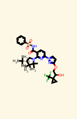 BC(B)(B)[C@@H]1CN(c2nc(-n3ccc(OCC(O)C4(C(F)(F)F)CC4)n3)ccc2C(=O)NS(=O)(=O)c2ccccc2)C(C)(C)C1(B)B